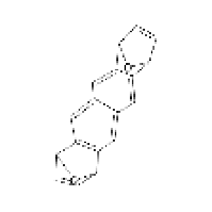 C1=CC2OC1c1cc3cc4c(cc3cc12)C1C=CC4O1